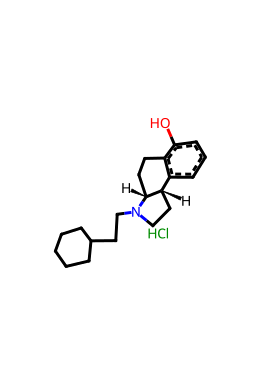 Cl.Oc1cccc2c1CC[C@@H]1[C@H]2CCN1CCC1CCCCC1